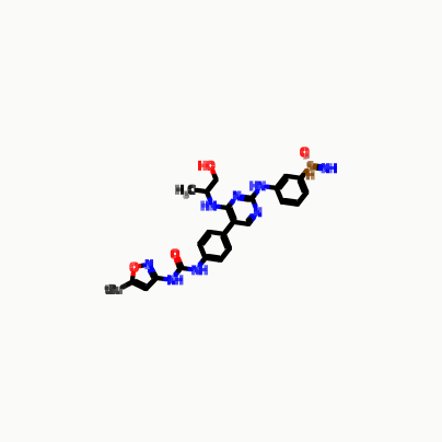 CC(CO)Nc1nc(Nc2cccc([SH](=N)=O)c2)ncc1-c1ccc(NC(=O)Nc2cc(C(C)(C)C)on2)cc1